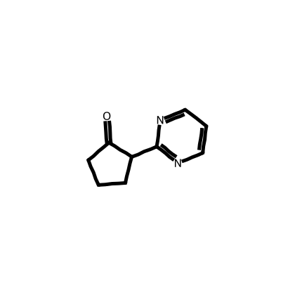 O=C1CCCC1c1ncccn1